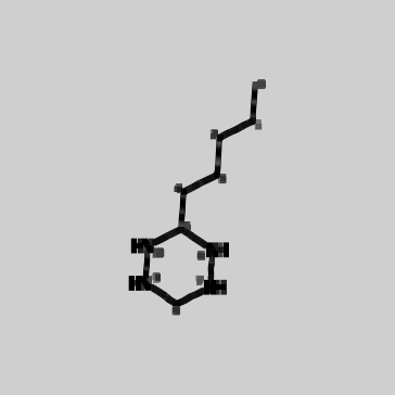 CCCCCC1NNCNN1